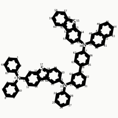 c1ccc(N(c2ccccc2)c2ccc3c(c2)sc2ccc(N(c4ccccc4)c4cccc(-c5ccc(N(c6ccc7ccccc7c6)c6ccc7c(c6)sc6ccccc67)cc5)c4)cc23)cc1